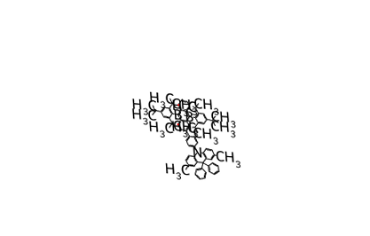 Cc1ccc2c(c1)C(c1ccccc1)(c1ccccc1)c1cc(C)ccc1N2c1ccc(-c2ccc3c(c2)B(c2c(C(C)C)cc(C(C)C)cc2C(C)C)c2ccccc2B3c2c(C(C)C)cc(C(C)C)cc2C(C)C)cc1